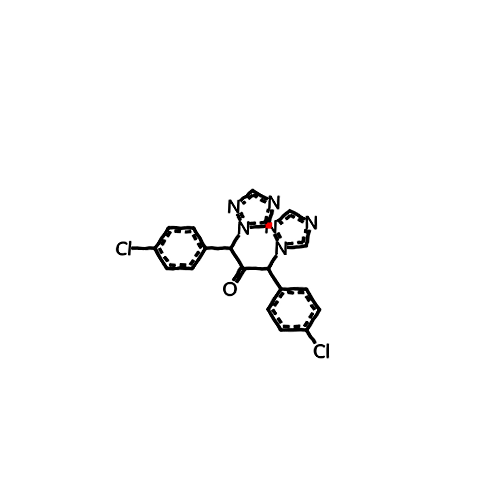 O=C(C(c1ccc(Cl)cc1)n1cncn1)C(c1ccc(Cl)cc1)n1cncn1